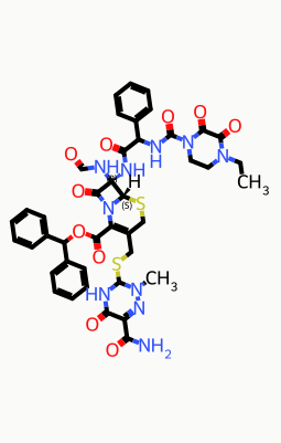 CCN1CCN(C(=O)NC(C(=O)N[C@]2(NC=O)C(=O)N3C(C(=O)OC(c4ccccc4)c4ccccc4)=C(CSC4NC(=O)C(C(N)=O)=NN4C)CS[C@H]32)c2ccccc2)C(=O)C1=O